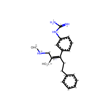 N=C(N)Nc1cccc(/C(CCc2ccccc2)=C(\CNC=O)C(=O)O)c1